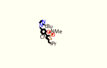 CNS(=O)(=O)c1sc(CC(C)C)cc1-c1ccc(Cn2ccnc2C(C)(C)C)cc1C#N